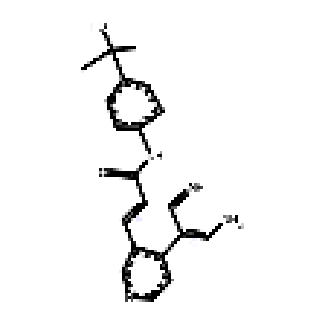 CC(C)(O)c1ccc(NC(=O)/C=C/c2cnccc2/C(C=N)=C/N)cc1